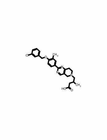 Cc1cc(-c2ncc3c(n2)CCN(CC(C)CC(=O)O)C3)ccc1OCc1cccc(Cl)c1